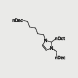 CCCCCCCCCCCCCCCN1C=CN(CCCCCCCCCCC)C1CCCCCCCC